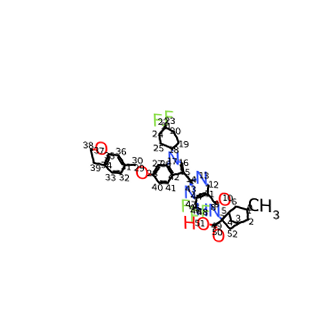 CC1CC2CC(C1)C(NC(=O)c1cnc(-c3cn(C4CCC(F)(F)CC4)c4cc(OCc5ccc6c(c5)OCC6)ccc34)nc1C(F)(F)F)(C(=O)O)C2